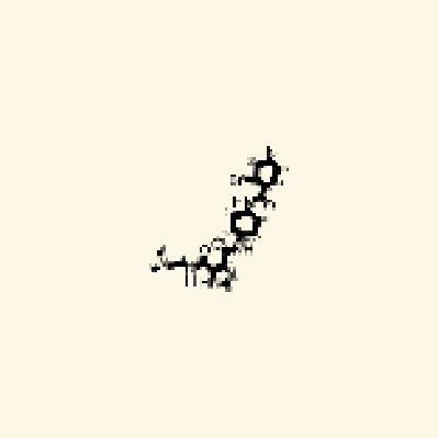 CN(C)CCNC(=O)c1[nH]cnc1C(=O)Nc1ccc(NC(=O)c2ccc(F)cc2Br)cc1